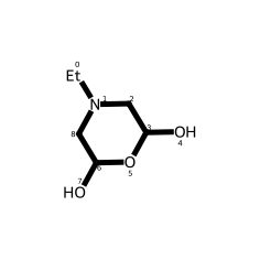 CCN1CC(O)OC(O)C1